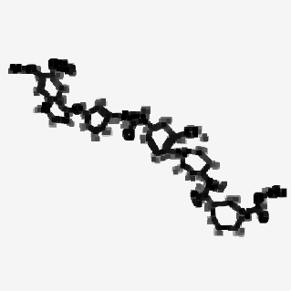 COc1cc2nccc(Oc3cccc(NC(=O)Nc4ccc(N5CCC(NC(=O)C6CCCN(C(=O)OC(C)(C)C)C6)CC5)c(C(F)(F)F)c4)c3)c2cc1OC